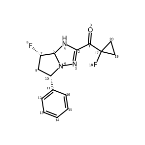 O=C(C1=NN2C(N1)[C@@H](F)C[C@H]2c1ccccc1)C1(F)CC1